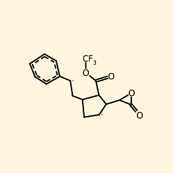 O=C1OC1C1[CH]CC(C[CH]c2ccccc2)C1C(=O)OC(F)(F)F